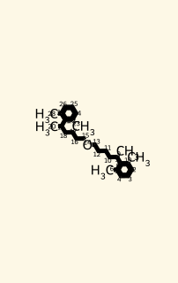 Cc1cccc(C)c1C(C)CCCCOCCCCC(C)c1c(C)cccc1C